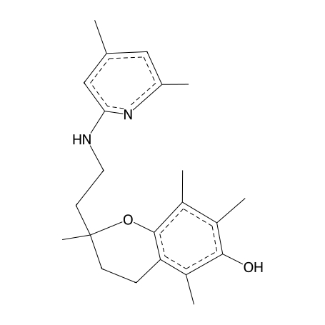 Cc1cc(C)nc(NCCC2(C)CCc3c(C)c(O)c(C)c(C)c3O2)c1